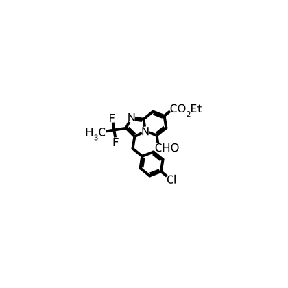 CCOC(=O)c1cc(C=O)n2c(Cc3ccc(Cl)cc3)c(C(C)(F)F)nc2c1